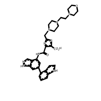 O=C(Nc1cc(-c2cccc3[nH]ccc23)cc2[nH]ncc12)c1nc(CN2CCN(CCN3CCOCC3)CC2)sc1C(=O)O